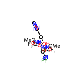 COC(=O)N[C@H](C(=O)N[C@@H](Cc1ccc(C#Cc2cnc(N3CC4CCC(C3)N4C3COC3)nc2)cc1)[C@@H](O)CN(Cc1ccc(-c2cnn(C(F)F)c2)cc1F)NC(=O)[C@@H](NC(=O)OC)C(C)(C)C(F)(F)F)C(C)(C)C(F)(F)F